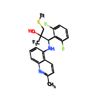 CCSCC(O)(C(Nc1cccc2nc(C)ccc12)c1c(F)cccc1F)C(F)(F)F